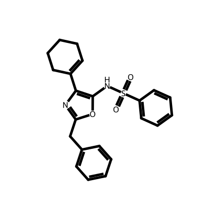 O=S(=O)(Nc1oc(Cc2ccccc2)nc1C1=CCCCC1)c1ccccc1